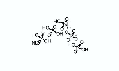 O=P([O-])(O)O.O=P([O-])(O)O.O=P([O-])(O)O.O=P([O-])(O)O.O=P([O-])(O)O.[Nb+5]